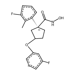 Cc1c(F)cccc1[C@]1(C(=O)NO)CCC(Oc2cncc(F)c2)C1